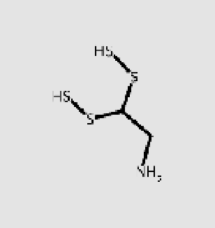 NCC(SS)SS